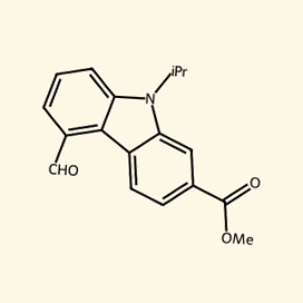 COC(=O)c1ccc2c3c(C=O)cccc3n(C(C)C)c2c1